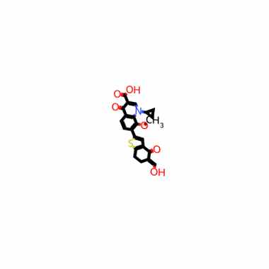 COc1c(-c2cc3c(s2)CCC(=CO)C3=O)ccc2c(=O)c(C(=O)O)cn(C3CC3)c12